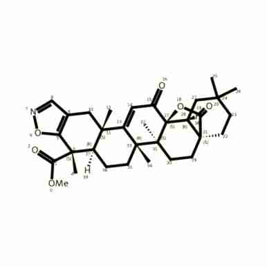 COC(=O)[C@]1(C)c2oncc2C[C@]2(C)C3=CC(=O)[C@]45OC(=O)[C@@]6(CCC(C)(C)C[C@H]64)CC[C@@]5(C)[C@]3(C)CC[C@H]21